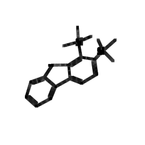 C[Si](C)(C)c1ccc2c(c1[Si](C)(C)C)[CH]c1ccccc1-2